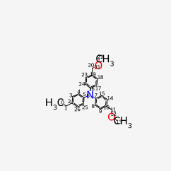 CCc1ccc(N(c2ccc(COC)cc2)c2ccc(COC)cc2)cc1